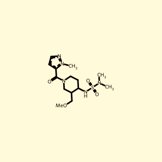 COCC1CN(C(=O)c2ccnn2C)CCC1NS(=O)(=O)N(C)C